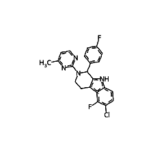 Cc1ccnc(N2CCc3c([nH]c4ccc(Cl)c(F)c34)C2c2ccc(F)cc2)n1